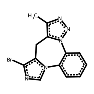 Cc1nnn2c1Cc1c(Br)ncn1-c1ccccc1-2